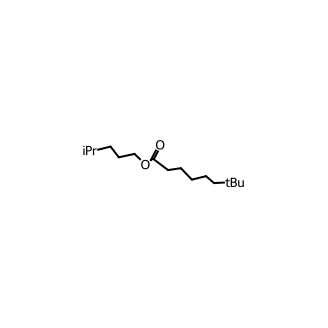 CC(C)CCCOC(=O)CCCCCC(C)(C)C